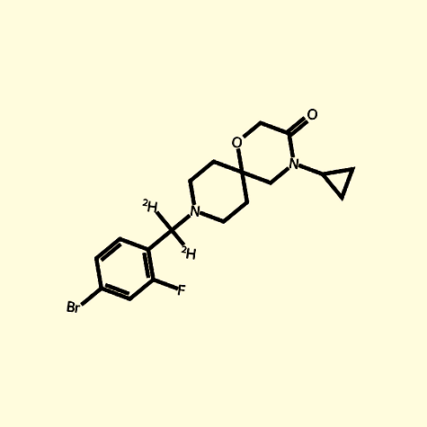 [2H]C([2H])(c1ccc(Br)cc1F)N1CCC2(CC1)CN(C1CC1)C(=O)CO2